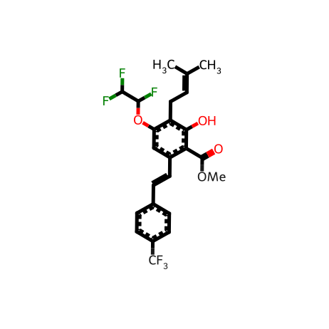 COC(=O)c1c(C=Cc2ccc(C(F)(F)F)cc2)cc(OC(F)C(F)F)c(CC=C(C)C)c1O